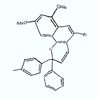 COc1cc(OC)c2cc(C(C)C)c3c(c2c1)OC(c1ccccc1)(c1ccc(C)cc1)C=C3